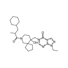 CCn1ncc2c(=O)n(CC3(O)CCN(C(=O)C(C)CC4CCCCC4)CC34CCCC4)cnc21